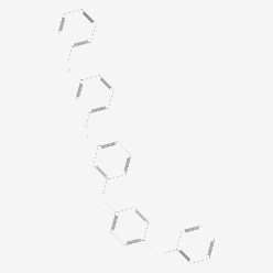 c1ccc(Sc2ccc(Sc3cccc(Sc4cccc(Sc5ccccc5)c4)c3)cc2)cc1